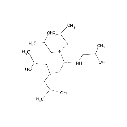 CC(O)CNC(CN(CC(C)O)CC(C)O)N(CC(C)O)CC(C)O